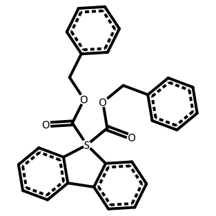 O=C(OCc1ccccc1)S1(C(=O)OCc2ccccc2)c2ccccc2-c2ccccc21